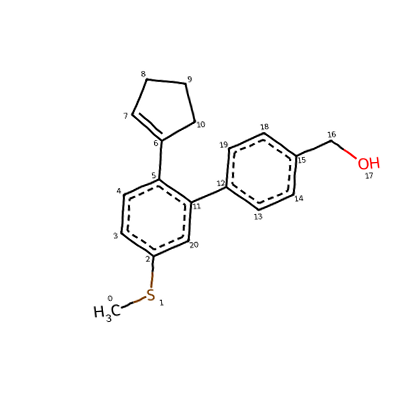 CSc1ccc(C2=CCCC2)c(-c2ccc(CO)cc2)c1